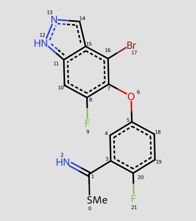 CSC(=N)c1cc(Oc2c(F)cc3[nH]ncc3c2Br)ccc1F